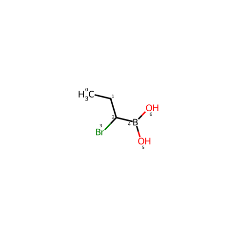 CCC(Br)B(O)O